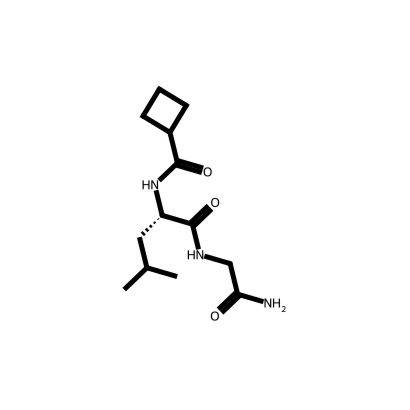 CC(C)C[C@H](NC(=O)C1CCC1)C(=O)NCC(N)=O